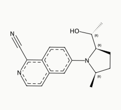 C[C@@H]1CC[C@H]([C@@H](C)O)N1c1ccc2c(C#N)nccc2c1